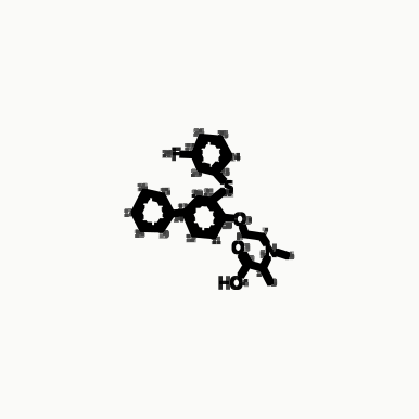 CC(C(=O)O)N(C)CCOc1ccc(-c2ccccc2)cc1Sc1cccc(F)c1